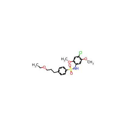 CCOCCCc1ccc(S(=O)(=O)Nc2cc(OC)c(Cl)cc2OC)cc1